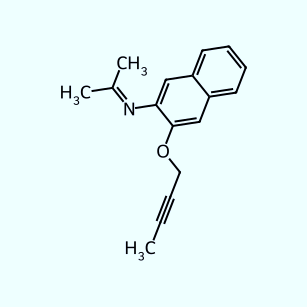 CC#CCOc1cc2ccccc2cc1N=C(C)C